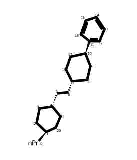 CCC[C@H]1CC[C@H](CC[C@H]2CC[C@H](c3ccccc3)CC2)CC1